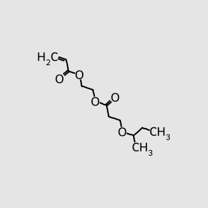 C=CC(=O)OCCOC(=O)CCOC(C)CC